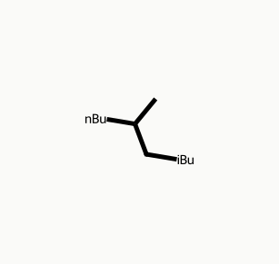 [CH2]C(CC)CC(C)CCCC